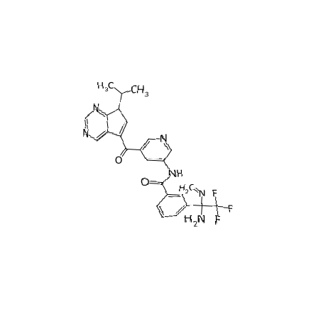 C=NC(N)(c1cccc(C(=O)Nc2cncc(C(=O)C3=CC(C(C)C)c4ncncc43)c2)c1)C(F)(F)F